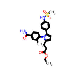 CCOC(=O)CCc1ccc(-c2ccc(NS(C)(=O)=O)cc2)n1-c1ccc(C(N)=O)cc1C